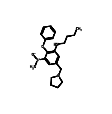 CCCCNc1cc(CN2CCCC2)cc([S+](N)[O-])c1Oc1ccccc1